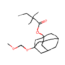 CCC(C)(C)C(=O)OC12CC3CC(CC(OCOC)(C3)C1)C2